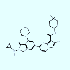 C[C@@H](C1CC1)N1Cc2cc(-c3ccn4nc(N)c(C(=O)NC5CCC(C)(O)CC5)c4n3)cc(N3CCOCC3)c2C1=O